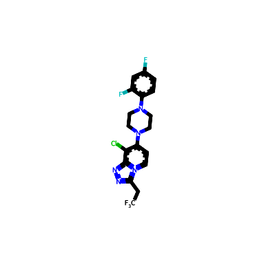 Fc1ccc(N2CCN(c3ccn4c(CC(F)(F)F)nnc4c3Cl)CC2)c(F)c1